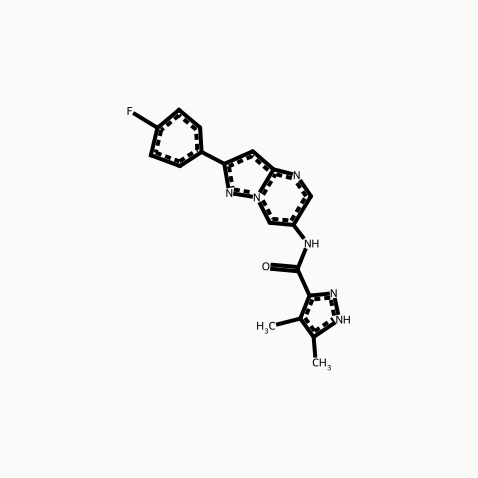 Cc1[nH]nc(C(=O)Nc2cnc3cc(-c4ccc(F)cc4)nn3c2)c1C